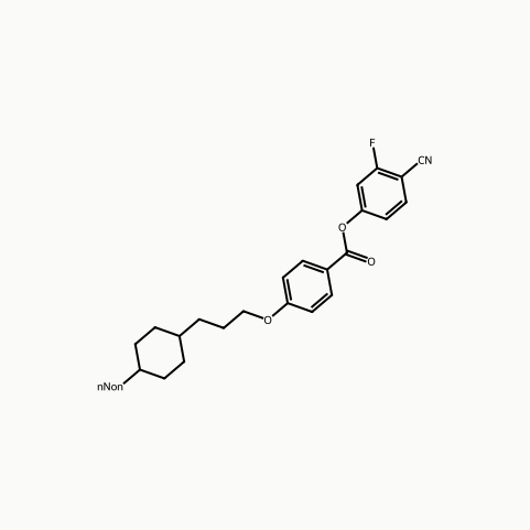 CCCCCCCCCC1CCC(CCCOc2ccc(C(=O)Oc3ccc(C#N)c(F)c3)cc2)CC1